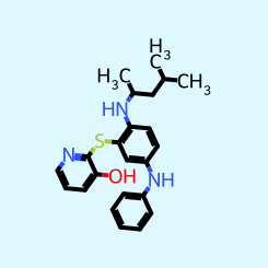 CC(C)CC(C)Nc1ccc(Nc2ccccc2)cc1Sc1ncccc1O